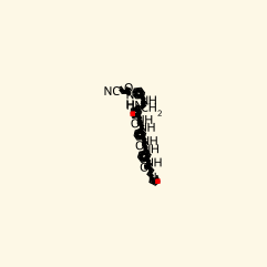 C=C(Nc1cccc(NC(=O)CCC#N)c1)Nc1cccc(NC(=O)Nc2cccc(NC(=O)Nc3cccc(NC(=O)CCN4CCCC4)c3)c2)c1